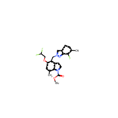 Cc1cc(OCC(F)F)c(Cn2cc3ccc(C#N)c(F)c3n2)c2ccn(C(=O)OC(C)(C)C)c12